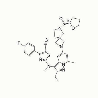 CCc1nn2c(C)cc(N3CC4(CCN(C(=O)[C@H]5CCCO5)C4)C3)cc2c1N(C)c1nc(-c2ccc(F)cc2)c(C#N)s1